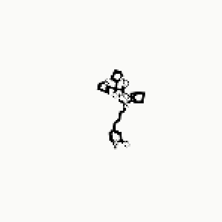 CN(CCCCc1ccn(C)c(=O)c1)C1CC2CCC1C2OC(=O)C(O)(c1cccs1)c1cccs1